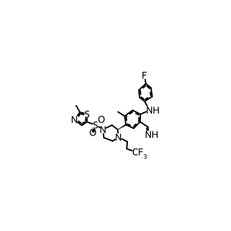 Cc1ncc(S(=O)(=O)N2CCN(CCC(F)(F)F)[C@H](c3cc(C=N)c(Nc4ccc(F)cc4)cc3C)C2)s1